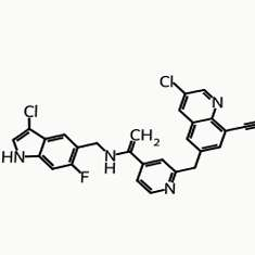 C=C(NCc1cc2c(Cl)c[nH]c2cc1F)c1ccnc(Cc2cc(C#N)c3ncc(Cl)cc3c2)c1